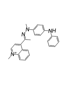 C/C(=N\N(C)c1ccc(Nc2ccccc2)cc1)c1cc[n+](C)c2ccccc12